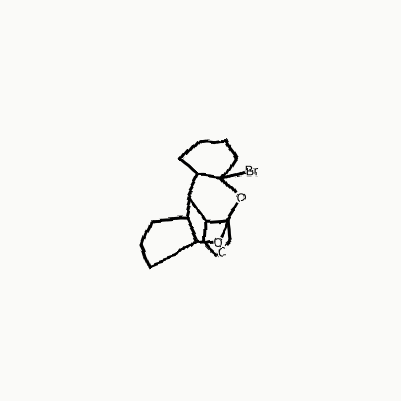 BrC12CCCCC1C1C3CCCCC3OC3(CCCCC13)O2